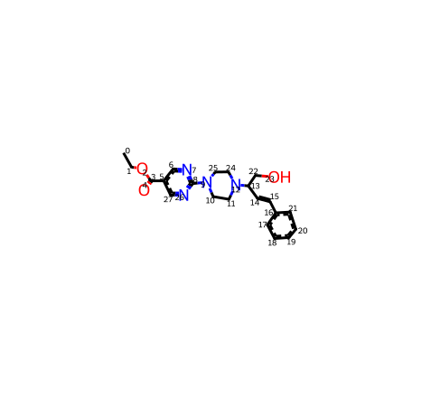 CCOC(=O)c1cnc(N2CCN(C(/C=C/c3ccccc3)CO)CC2)nc1